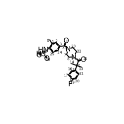 Cc1cc(C(=O)N2CCN(C(=O)C(C)(C)c3ccc(F)cc3)CC2)ccc1N[SH](=O)=O